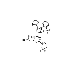 O=C(O)CC(CCN1CCCC(F)(F)C1)NC(=O)c1cc(-c2nccs2)n(-c2ccccc2C(F)(F)F)n1